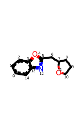 c1ccc2oc(CC3CCCO3)nc2c1